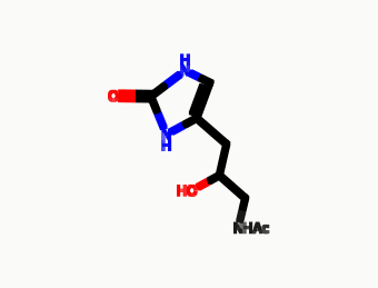 CC(=O)NCC(O)Cc1c[nH]c(=O)[nH]1